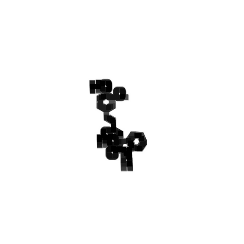 COc1cc(/C=C/C(=O)CC2(O)C(=O)Nc3ccccc32)ccc1O